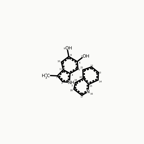 Cc1c[nH]c2cc(O)c(O)cc12.c1ccc2ncccc2c1